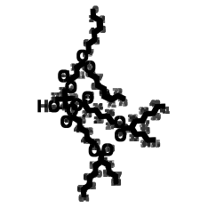 CC/C=C\CCCCOC(CCC(=O)OCC(CO)(COC(=O)CCCCCOC(=O)C(CCCC)CCCCCC)COC(=O)CCCCCOC(=O)C(CCCC)CCCCCC)OCCCC/C=C\CC